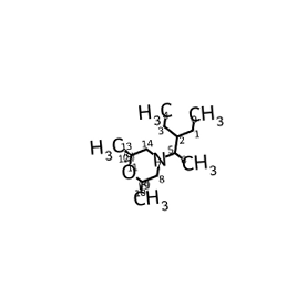 CCC(CC)C(C)N1C[C@@H](C)O[C@@H](C)C1